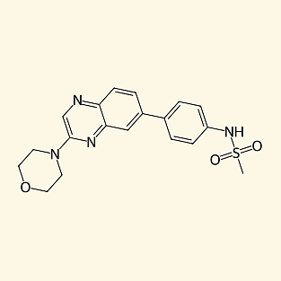 CS(=O)(=O)Nc1ccc(-c2ccc3ncc(N4CCOCC4)nc3c2)cc1